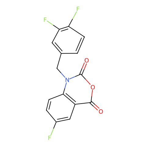 O=c1oc(=O)n(Cc2ccc(F)c(F)c2)c2ccc(F)cc12